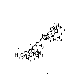 CC(C)(C)OC(CCC[SiH2]CCC[SiH2]CCCC(OC(C)(C)C)OC(C)(C)C)OC(C)(C)C